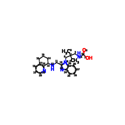 CC(C)(CNC(=O)O)Cn1c(CNC2CCCc3cccnc32)nc2ccccc21